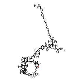 C=C1[C@H](C)C[C@@H]2CCC(CC)O[C@H](CCC)CC[C@@]34C[C@H]5OC6C(O[C@H]7CC[C@H](CC(=O)C[C@@H]8[C@@H](OC)[C@@H](C[C@H](O)CNC(=O)OCc9ccc(NC(=O)[C@H](CCCNC(N)=O)NC(=O)[C@@H](NC(=O)CCOCCOCCOCCOCCOCCOCCN)C(C)C)cc9)O[C@H]8C[C@H]1O2)O[C@@H]7[C@@H]6O3)[C@H]5O4